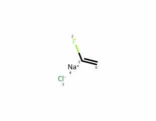 C=CF.[Cl-].[Na+]